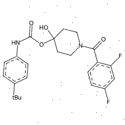 CC(C)(C)c1ccc(NC(=O)OC2(O)CCN(C(=O)c3ccc(F)cc3F)CC2)cc1